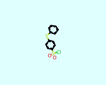 O=S(=O)(Cl)c1ccc(Sc2ccccc2)cc1